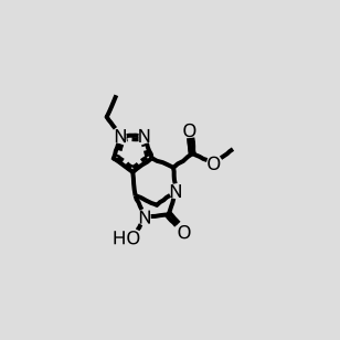 CCn1cc2c(n1)C(C(=O)OC)N1CC2N(O)C1=O